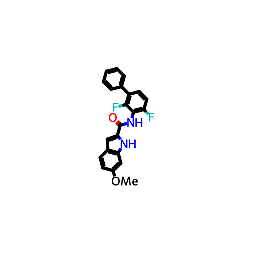 COc1ccc2cc(C(=O)Nc3c(F)ccc(-c4ccccc4)c3F)[nH]c2c1